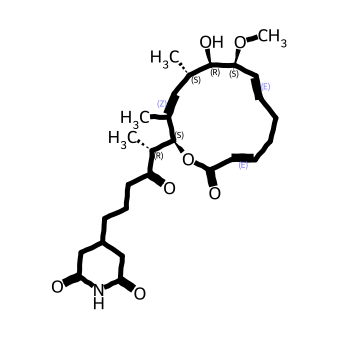 CO[C@H]1/C=C/CC/C=C/C(=O)O[C@@H]([C@@H](C)C(=O)CCCC2CC(=O)NC(=O)C2)/C(C)=C\[C@H](C)[C@H]1O